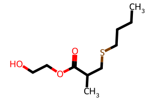 CCCCSCC(C)C(=O)OCCO